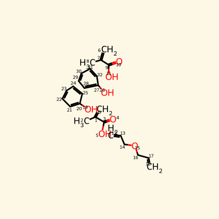 C=C(C)C(=O)O.C=C(C)C(=O)O.C=CCOCC=C.Oc1ccccc1.Oc1ccccc1